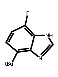 CC(C)(C)c1ccc(F)c2[nH]cnc12